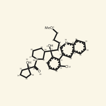 COCCCC[C@](O)(c1cccc(Cl)c1-c1cnc2ccccc2c1)[C@@H]1CCCN(C(=O)C2(O)CCCC2)C1